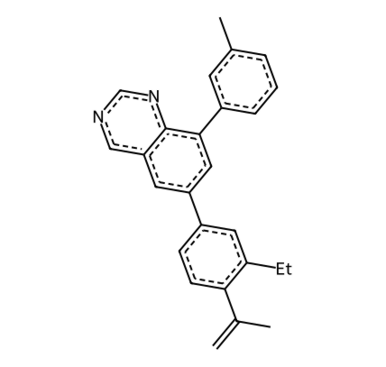 C=C(C)c1ccc(-c2cc(-c3cccc(C)c3)c3ncncc3c2)cc1CC